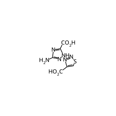 Nc1n[nH]c(C(=O)O)n1.O=C(O)c1csnn1